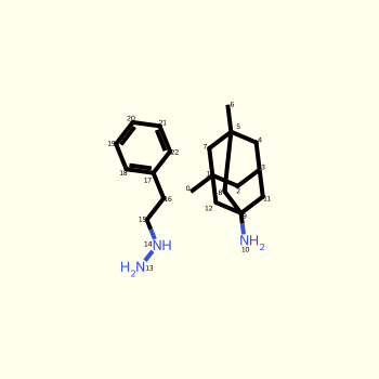 CC12CC3CC(C)(C1)CC(N)(C3)C2.NNCCc1ccccc1